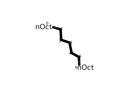 [CH2]CCCCCCCC[CH]CCCCCCCCCCC